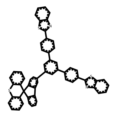 c1ccc2c(c1)Sc1ccccc1C21c2ccccc2-c2cc(-c3cc(-c4ccc(-c5nc6ccccc6s5)cc4)cc(-c4ccc(-c5nc6ccccc6s5)cc4)c3)ccc21